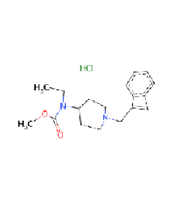 CCN(C(=O)OC)C1CCN(CC2=Cc3ccccc32)CC1.Cl